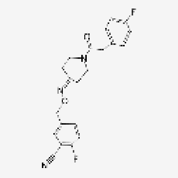 N#Cc1cc(CON=C2CCN(C(=O)Cc3ccc(F)cc3)CC2)ccc1F